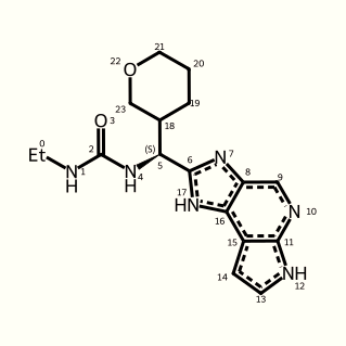 CCNC(=O)N[C@H](c1nc2cnc3[nH]ccc3c2[nH]1)C1CCCOC1